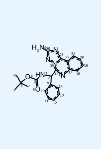 CC(C)(C)OC(=O)NC(c1ccccc1)c1nc2ccccc2c2nc(N)nn12